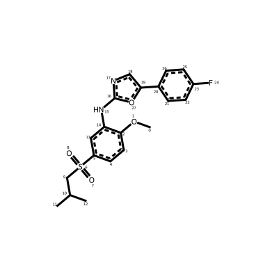 COc1ccc(S(=O)(=O)CC(C)C)cc1Nc1ncc(-c2ccc(F)cc2)o1